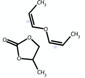 C/C=C\O/C=C\C.CC1COC(=O)O1